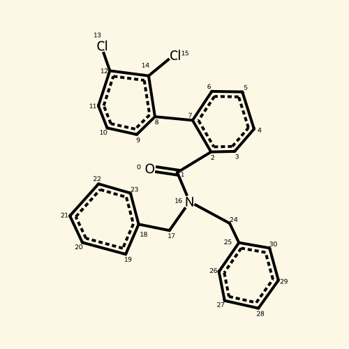 O=C(c1ccccc1-c1cccc(Cl)c1Cl)N(Cc1ccccc1)Cc1ccccc1